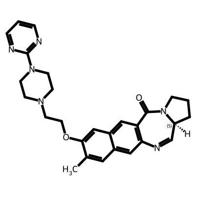 Cc1cc2cc3c(cc2cc1OCCN1CCN(c2ncccn2)CC1)C(=O)N1CCC[C@H]1C=N3